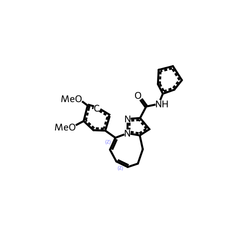 COc1ccc(/C2=C/C=C\CCc3cc(C(=O)Nc4ccccc4)nn32)cc1OC